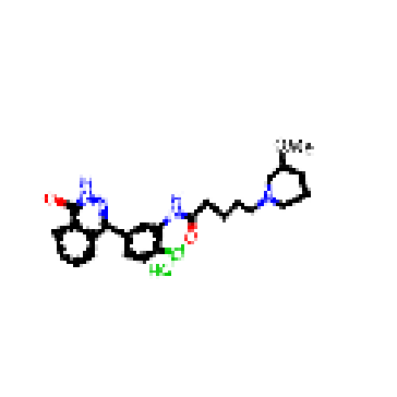 COC1CCCN(CCCCC(=O)Nc2cc(-c3n[nH]c(=O)c4ccccc34)ccc2Cl)C1.Cl